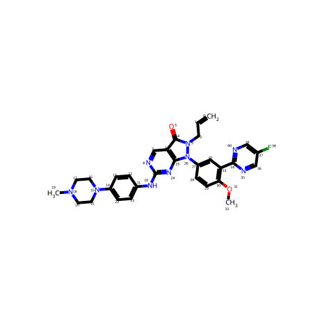 C=CCn1c(=O)c2cnc(Nc3ccc(N4CCN(C)CC4)cc3)nc2n1-c1ccc(OC)c(-c2ncc(F)cn2)c1